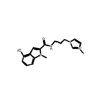 Cn1c(C(=O)NCCCn2cc[n+](C)c2)cc2c(O)cccc21